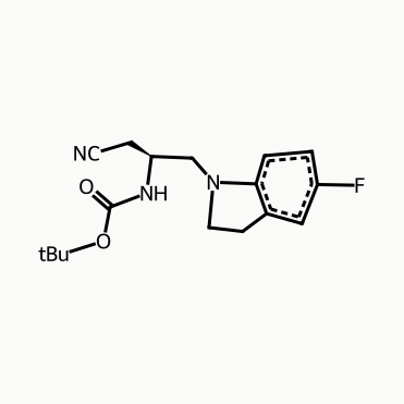 CC(C)(C)OC(=O)N[C@@H](CC#N)CN1CCc2cc(F)ccc21